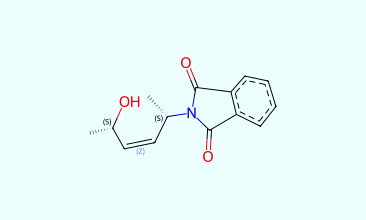 C[C@H](O)/C=C\[C@H](C)N1C(=O)c2ccccc2C1=O